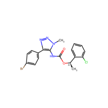 C[C@@H](OC(=O)Nc1c(-c2ccc(Br)cc2)nnn1C)c1ccccc1Cl